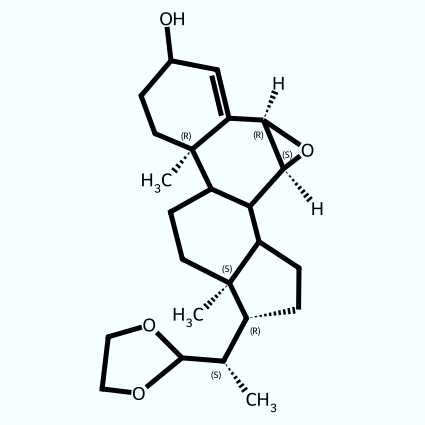 C[C@H](C1OCCO1)[C@H]1CCC2C3C(CC[C@@]21C)[C@@]1(C)CCC(O)C=C1[C@H]1O[C@@H]31